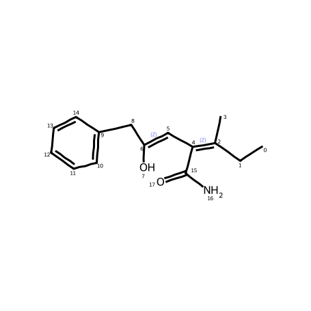 CC/C(C)=C(/C=C(\O)Cc1ccccc1)C(N)=O